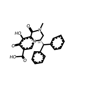 CN1C[C@H](C(c2ccccc2)c2ccccc2)n2cc(C(=O)O)c(=O)c(O)c2C1=O